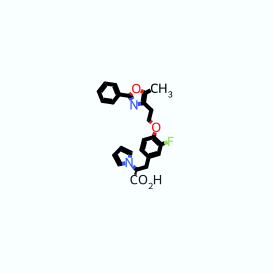 Cc1oc(-c2ccccc2)nc1CCOc1ccc(C[C@@H](C(=O)O)n2cccc2)cc1F